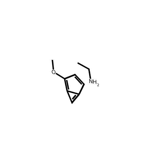 CCN.COc1ccc2cc1-2